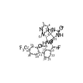 Cn1nccc1C1(CNC(=O)c2c(-c3ccc(C(F)(F)F)cc3)cccc2C(F)F)NC(=O)NC1=O